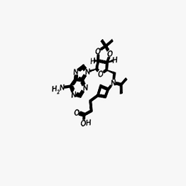 CC(C)N(C[C@H]1O[C@@H](n2cnc3c(N)ncnc32)[C@@H]2OC(C)(C)O[C@@H]21)C1CC(CCC(=O)O)C1